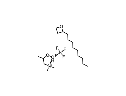 CC(C[N+](C)(C)C)OO.CCCCCCCCCC1CCO1.F[B-](F)(F)F